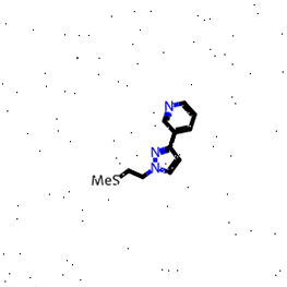 CSCCn1ccc(-c2cccnc2)n1